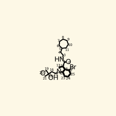 O=C(NCCC1CCCCCC1)c1cn(CCC2(O)COC2)c2cccc(Br)c12